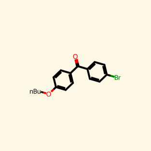 CCCCOc1ccc(C(=O)c2ccc(Br)cc2)cc1